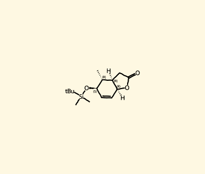 C[C@@H]1[C@H]2CC(=O)O[C@H]2C=C[C@H]1O[Si](C)(C)C(C)(C)C